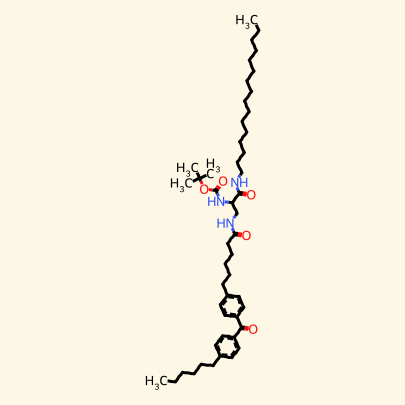 CCCCCCCCCCCCCCCCNC(=O)C(CNC(=O)CCCCCc1ccc(C(=O)c2ccc(CCCCCC)cc2)cc1)NC(=O)OC(C)(C)C